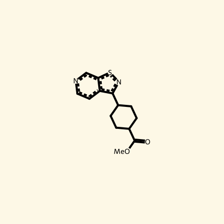 COC(=O)C1CCC(c2nsc3cnccc23)CC1